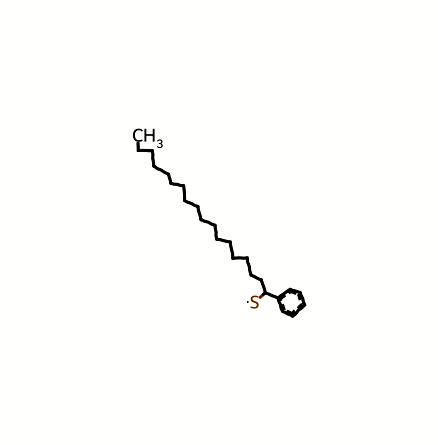 CCCCCCCCCCCCCCCCCC([S])c1ccccc1